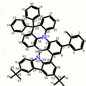 Cc1ccccc1-c1cc2c3c(c1)N1c4ccccc4C(c4ccccc4)(c4ccccc4)c4cccc(c41)B3n1c3ccc(C(C)(C)C)cc3c3cc(C(C)(C)C)cc-2c31